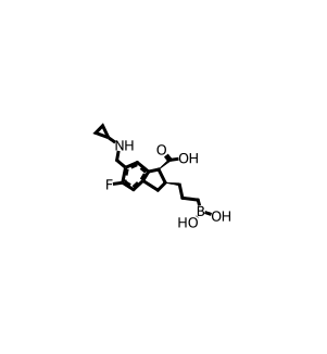 O=C(O)[C@@H]1c2cc(CNC3CC3)c(F)cc2C[C@@H]1CCCB(O)O